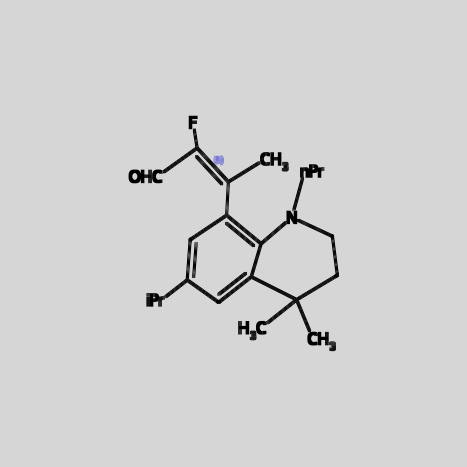 CCCN1CCC(C)(C)c2cc(C(C)C)cc(/C(C)=C(/F)C=O)c21